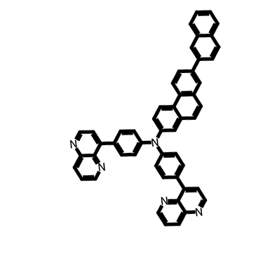 c1ccc2cc(-c3ccc4c(ccc5cc(N(c6ccc(-c7ccnc8cccnc78)cc6)c6ccc(-c7ccnc8cccnc78)cc6)ccc54)c3)ccc2c1